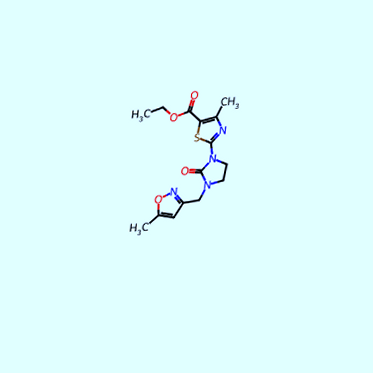 CCOC(=O)c1sc(N2CCN(Cc3cc(C)on3)C2=O)nc1C